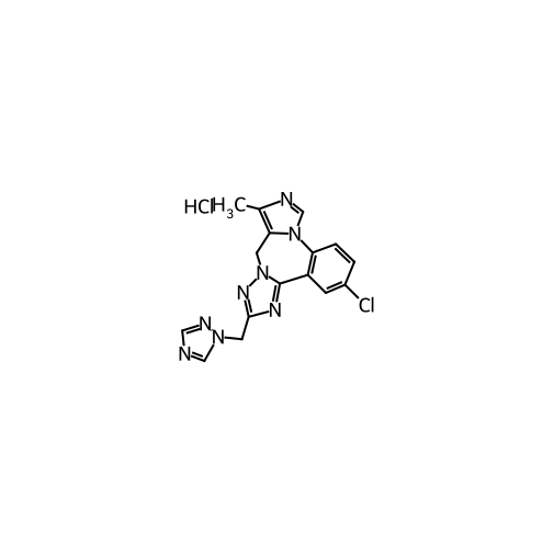 Cc1ncn2c1Cn1nc(Cn3cncn3)nc1-c1cc(Cl)ccc1-2.Cl